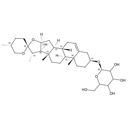 C[C@@H]1CC[C@@]2(OC1)O[C@H]1C[C@H]3[C@@H]4CC=C5C[C@@H](O[C@@H]6OC(CO)C(O)C(O)C6O)CC[C@]5(C)[C@H]4CC[C@]3(C)[C@H]1[C@@H]2C